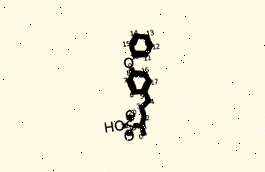 CC(CCCc1ccc(Oc2ccccc2)cc1)S(=O)(=O)O